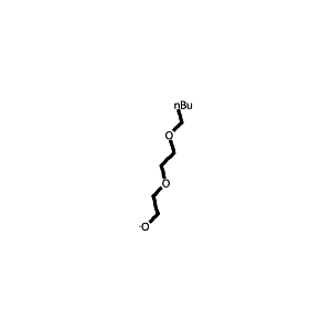 CCCCCOCCOCC[O]